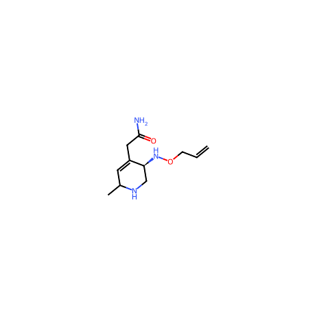 C=CCON[C@H]1CNC(C)C=C1CC(N)=O